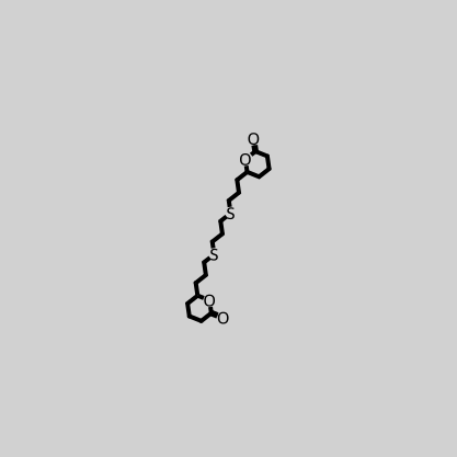 O=C1CCCC(CCCSCCCSCCCC2CCCC(=O)O2)O1